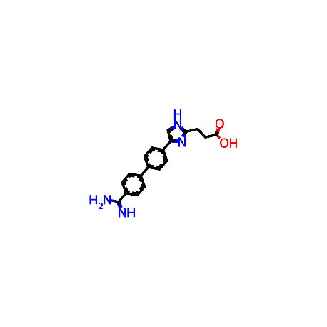 N=C(N)c1ccc(-c2ccc(-c3c[nH]c(CCC(=O)O)n3)cc2)cc1